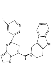 Fc1cncc(-c2cc(N[C@@H]3CCc4[nH]c5ccccc5c4C3)n3nccc3n2)c1